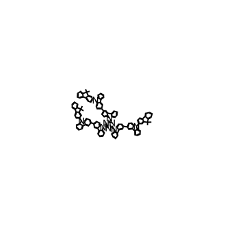 CC1(C)c2ccccc2-c2ccc(-n3c4ccccc4c4cc(-c5ccc6c(c5)c5ccccc5n6-c5nc(-n6c7ccccc7c7cc(-c8ccc9c(c8)c8ccccc8n9-c8ccc9c(c8)C(C)(C)c8ccccc8-9)ccc76)nc(-n6c7ccccc7c7cc(-c8ccc9c(c8)c8ccccc8n9-c8ccc9c(c8)C(C)(C)c8ccccc8-9)ccc76)n5)ccc43)cc21